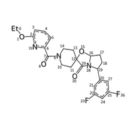 CCOc1cccc(C(=O)N2CCC3(CC2)OC2CCC(c4cc(F)cc(F)c4)N2C3=O)n1